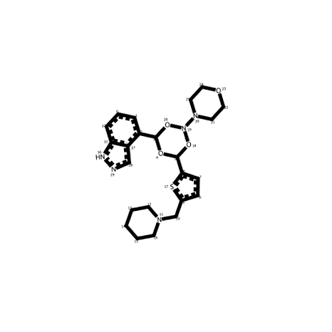 c1cc(C2OC(c3ccc(CN4CCCCC4)s3)ON(N3CCOCC3)O2)c2cn[nH]c2c1